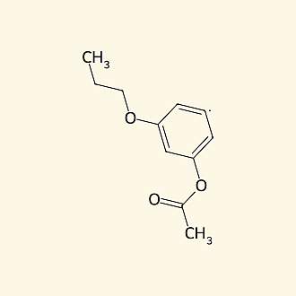 CCCOc1c[c]cc(OC(C)=O)c1